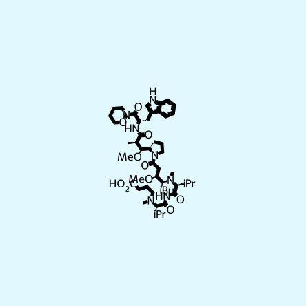 CC[C@H](C)[C@@H]([C@@H](CC(=O)N1CCC[C@H]1[C@H](OC)[C@@H](C)C(=O)N[C@@H](Cc1c[nH]c2ccccc12)C(=O)N1CCCCO1)OC)N(C)[C@H](C(=O)NC(=O)[C@H](C(C)C)N(C)CCCC(=O)O)C(C)C